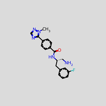 Cn1ncnc1-c1ccc(C(=O)N[C@H](CN)Cc2cccc(F)c2)cc1